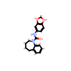 O=C(Nc1ccc2c(c1)OCO2)N1CCCCc2ccccc21